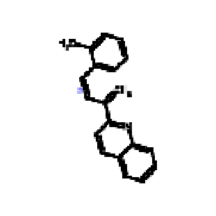 C=C(/C=C\c1ccccc1C)c1ccc2ccccc2n1